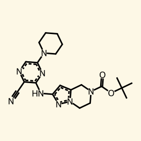 CC(C)(C)OC(=O)N1CCn2nc(Nc3nc(N4CCCCC4)cnc3C#N)cc2C1